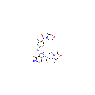 CCC1(n2nc(Nc3ccc(C(=O)N4CCOCC4C)c(C)c3)c3c(=O)[nH]ccc32)CCN(C(=O)O)C(C(C)(C)C)C1